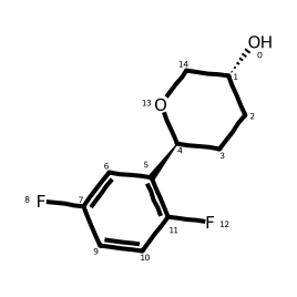 O[C@@H]1CC[C@@H](c2cc(F)ccc2F)OC1